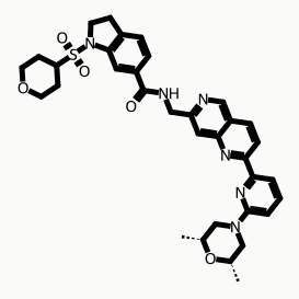 C[C@@H]1CN(c2cccc(-c3ccc4cnc(CNC(=O)c5ccc6c(c5)N(S(=O)(=O)C5CCOCC5)CC6)cc4n3)n2)C[C@H](C)O1